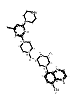 Cc1cc(N2CCNCC2)nc(N2CCN(C[C@H]3CN(c4ccc(C#N)c5nccnc45)C[C@@H](C)O3)CC2)n1